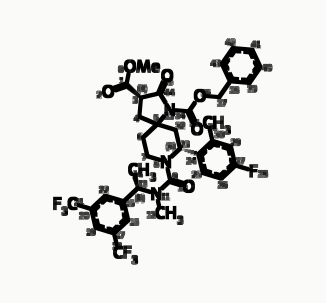 COC(=O)[C@@H]1CC2(CCN(C(=O)N(C)[C@H](C)c3cc(C(F)(F)F)cc(C(F)(F)F)c3)[C@@H](c3ccc(F)cc3C)C2)N(C(=O)OCc2ccccc2)C1=O